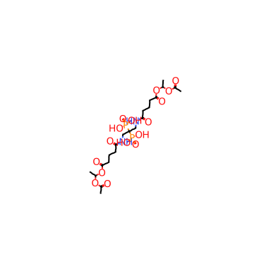 CC(=O)OC(C)OC(=O)CCCC(=O)NCC(CNC(=O)CCCC(=O)OC(C)OC(C)=O)(P(=O)(O)O)P(=O)(O)O